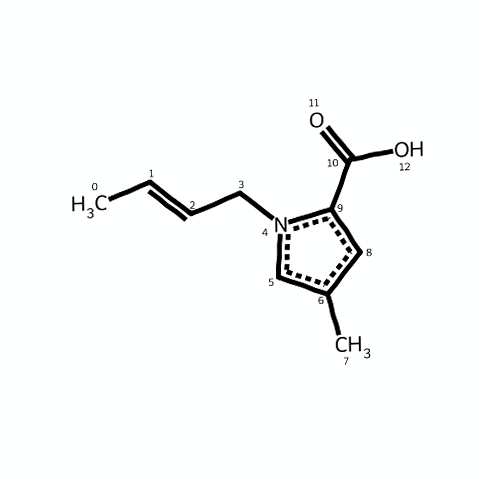 CC=CCn1cc(C)cc1C(=O)O